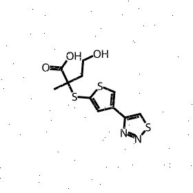 CC(CCO)(Sc1cc(-c2csnn2)cs1)C(=O)O